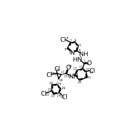 O=C(NNc1ccc(Cl)cn1)c1cc(NC(=O)[C@H]2[C@H](c3cc(Cl)cc(Cl)c3)C2(Cl)Cl)ccc1Cl